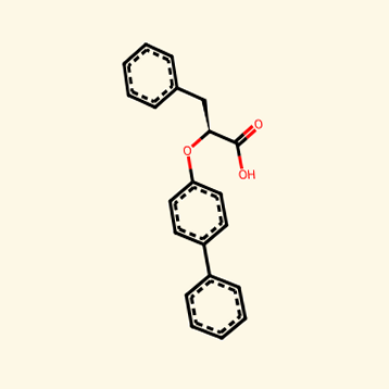 O=C(O)[C@H](Cc1ccccc1)Oc1ccc(-c2ccccc2)cc1